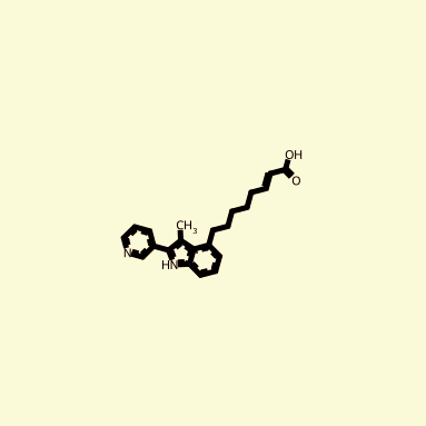 Cc1c(-c2cccnc2)[nH]c2cccc(CCCCCC=CC(=O)O)c12